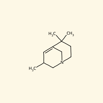 CC1C=C2CN(CCC2(C)C)C1